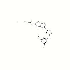 CCNC(=S)Nc1ccc2ncc(-c3cnn(Cc4cc(OC)cc(OC)c4)c3)nc2n1